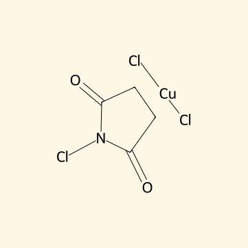 O=C1CCC(=O)N1Cl.[Cl][Cu][Cl]